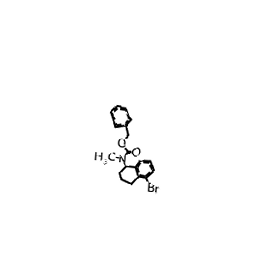 CN(C(=O)OCc1ccccc1)C1CCCc2c(Br)cccc21